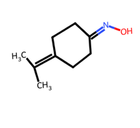 CC(C)=C1CCC(=NO)CC1